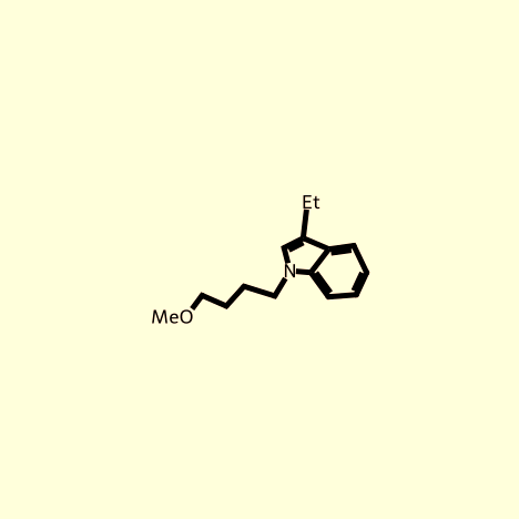 CCc1cn(CCCCOC)c2ccccc12